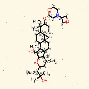 CC(C)CO[C@@H](C1C[C@@H](C)[C@H]2C(O1)[C@H](O)[C@@]1(C)C3CC[C@H]4C(C)(C)C(O[C@H]5CN(C6COC6)CCO5)CC[C@@]45C[C@@]35CC[C@]21C)C(C)(C)O